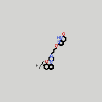 CC1(C)CCc2cccc(N3CCN(CCCCOc4ccc5c(n4)NC(=O)CC5)CC3)c2C1=O